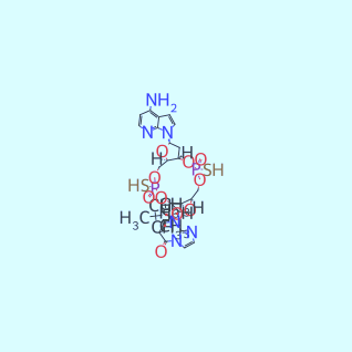 CC(C)(C)[Si](C)(C)O[C@H]1[C@H]2OP(=O)(S)OC[C@H]3O[C@@H](n4ccc5c(N)ccnc54)C[C@@H]3OP(=O)(S)OC[C@H]1O[C@H]2n1ccc(=O)n2ccnc12